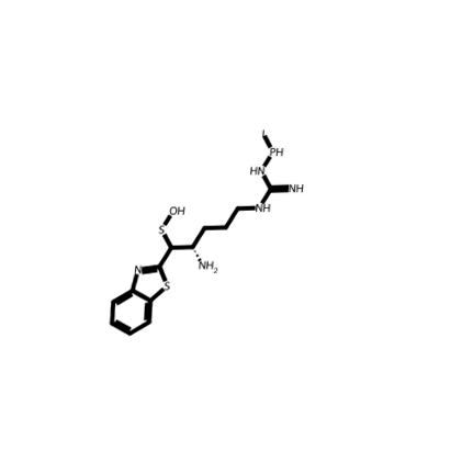 N=C(NCCC[C@H](N)C(SO)c1nc2ccccc2s1)NPI